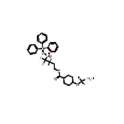 CCOC(=O)C(F)(F)OC1CCC(C(=O)OCCC(F)(F)C(F)(F)S(=O)(=O)OS(c2ccccc2)(c2ccccc2)c2ccccc2)CC1